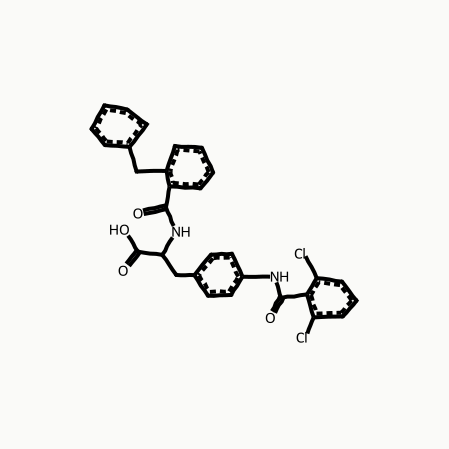 O=C(NC(Cc1ccc(NC(=O)c2c(Cl)cccc2Cl)cc1)C(=O)O)c1ccccc1Cc1ccccc1